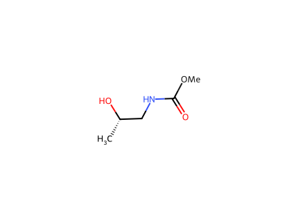 COC(=O)NC[C@H](C)O